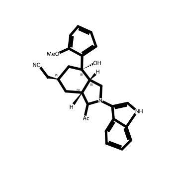 COc1ccccc1[C@]1(O)C[C@H](CC#N)C[C@H]2C(C(C)=O)N(c3c[nH]c4ccccc34)C[C@H]21